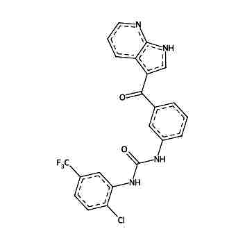 O=C(Nc1cccc(C(=O)c2c[nH]c3ncccc23)c1)Nc1cc(C(F)(F)F)ccc1Cl